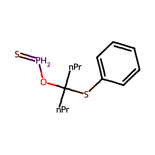 CCCC(CCC)(O[PH2]=S)Sc1ccccc1